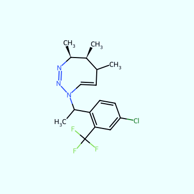 CC1/C=C/N(C(C)c2ccc(Cl)cc2C(F)(F)F)/N=N\[C@@H](C)[C@H]1C